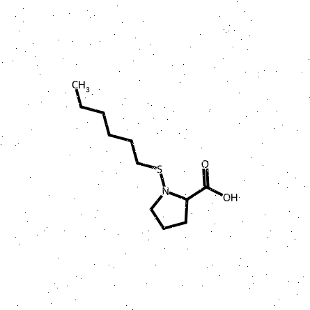 CCCCCCSN1CCCC1C(=O)O